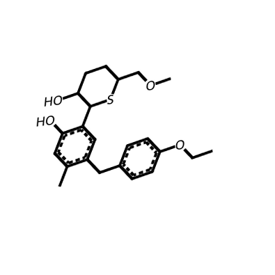 CCOc1ccc(Cc2cc(C3SC(COC)CCC3O)c(O)cc2C)cc1